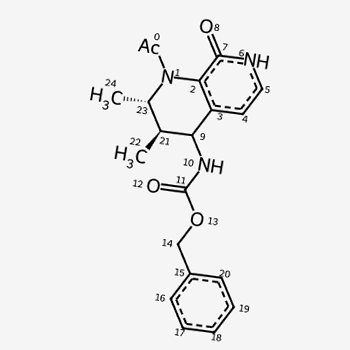 CC(=O)N1c2c(cc[nH]c2=O)C(NC(=O)OCc2ccccc2)[C@@H](C)[C@@H]1C